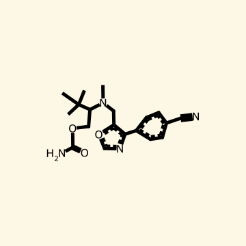 CN(Cc1ocnc1-c1ccc(C#N)cc1)C(COC(N)=O)C(C)(C)C